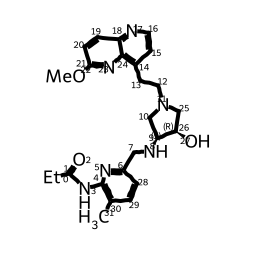 CCC(=O)Nc1nc(CN[C@H]2CN(CCc3ccnc4ccc(OC)nc34)C[C@H]2O)ccc1C